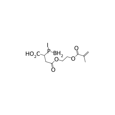 BP(I)C(CC(=O)OCCOC(=O)C(=C)C)C(=O)O